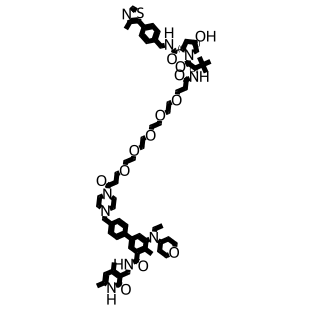 CCN(c1cc(-c2ccc(CN3CCN(C(=O)CCOCCOCCOCCOCCOCCC(=O)N[C@H](C(=O)N4C[C@H](O)C[C@H]4C(=O)NCc4ccc(-c5scnc5C)cc4)C(C)(C)C)CC3)cc2)cc(C(=O)NCc2c(C)cc(C)[nH]c2=O)c1C)C1CCOCC1